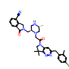 Cc1cc(F)ccc1Cc1cc2c(nn1)C(C)(C)CN2C(=O)CN1C[C@@H](C)NC[C@@H]1CN1Cc2c(C#N)cccc2C1=O